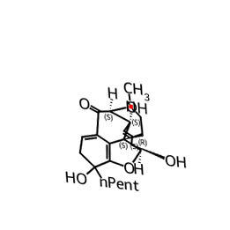 CCCCCC1(O)CC=C2C(=O)[C@H]3N(C)CC[C@]45C2=C1O[C@H]4[C@@H](O)C=C[C@@]35O